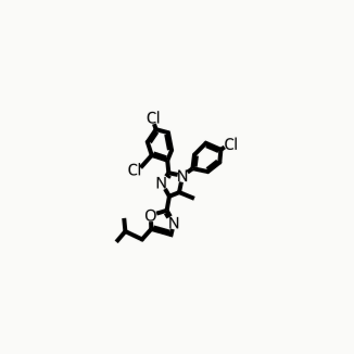 CC(C)Cc1cnc(C2N=C(c3ccc(Cl)cc3Cl)N(c3ccc(Cl)cc3)C2C)o1